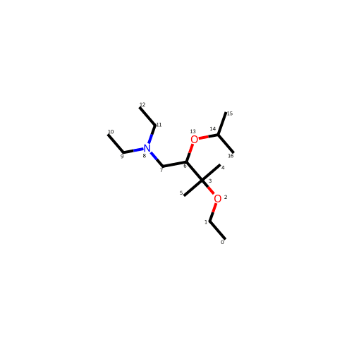 CCOC(C)(C)C(CN(CC)CC)OC(C)C